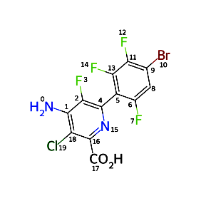 Nc1c(F)c(-c2c(F)cc(Br)c(F)c2F)nc(C(=O)O)c1Cl